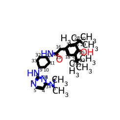 CN(C)c1ccnc(N[C@H]2CC[C@@H](NC(=O)Cc3cc(C(C)(C)C)c(O)c(C(C)(C)C)c3)CC2)n1